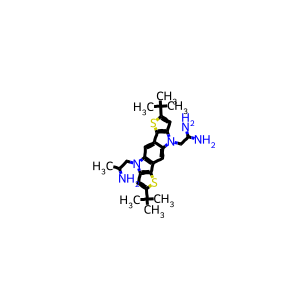 CC(N)Cn1c2cc3c4sc(C(C)(C)C)cc4n(CC(N)N)c3cc2c2sc(C(C)(C)C)cc21